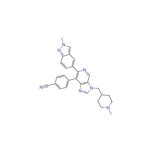 CN1CCC(Cn2cnc3c(-c4ccc(C#N)cc4)c(-c4ccc5nn(C)cc5c4)ncc32)CC1